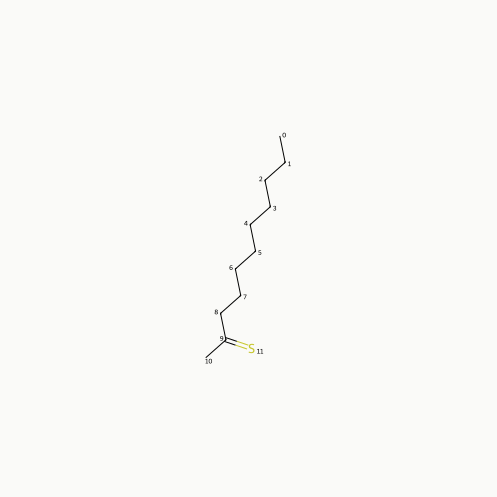 CCCCCCCCCC(C)=S